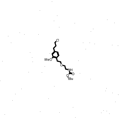 COc1cc(CCCCl)ccc1CCOCCNC(=O)OC(C)(C)C